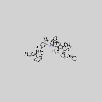 Cc1[nH]c(/C=C2\C(=O)Nc3ccc(C(=O)N[C@@H](C)c4ccccc4)cc32)c(C)c1C(=O)N1CCC[C@H]1CN1CCCC1